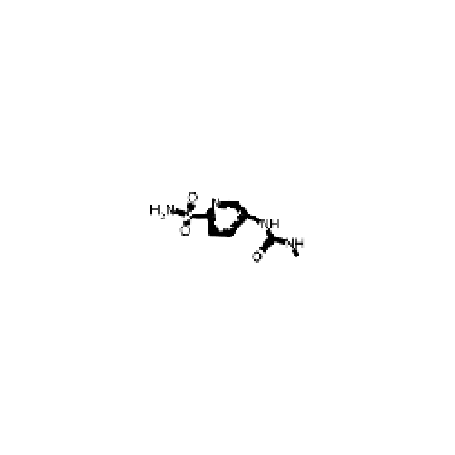 CNC(=O)Nc1ccc(S(N)(=O)=O)nc1